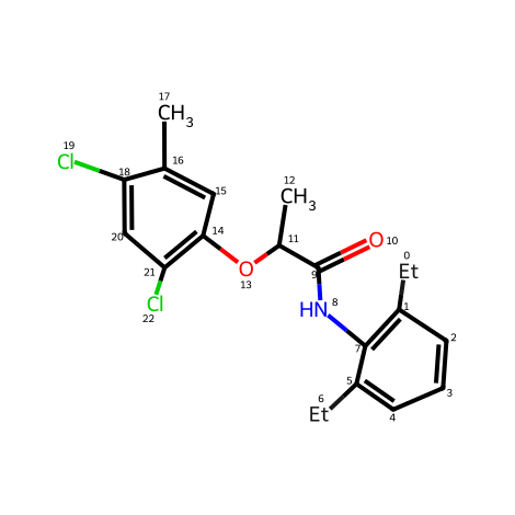 CCc1cccc(CC)c1NC(=O)C(C)Oc1cc(C)c(Cl)cc1Cl